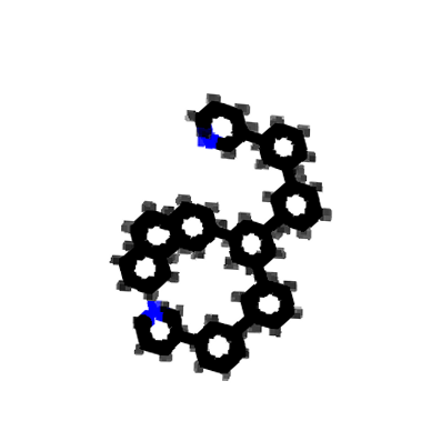 c1cncc(-c2cccc(-c3cccc(-c4cc(-c5cccc(-c6cccc(-c7cccnc7)c6)c5)cc(-c5ccc6ccc7ccccc7c6c5)c4)c3)c2)c1